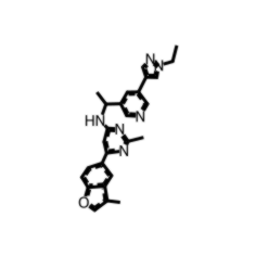 CCn1cc(-c2cncc(C(C)Nc3cc(-c4ccc5occ(C)c5c4)nc(C)n3)c2)cn1